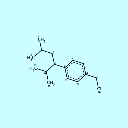 CC(C)CC(c1ccc(CCl)cc1)C(C)C